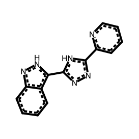 c1ccc(-c2nnc(-c3[nH]nc4ccccc34)[nH]2)nc1